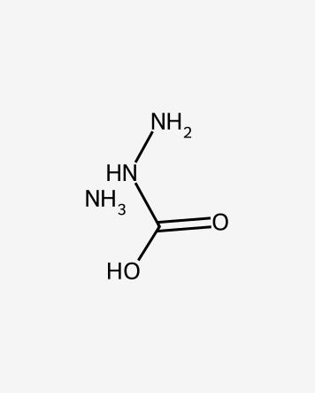 N.NNC(=O)O